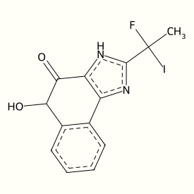 CC(F)(I)c1nc2c([nH]1)C(=O)C(O)c1ccccc1-2